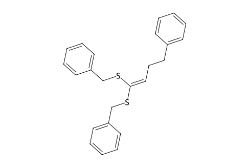 C(CCc1ccccc1)=C(SCc1ccccc1)SCc1ccccc1